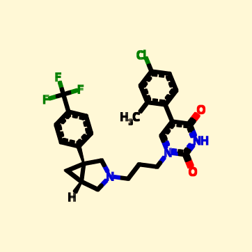 Cc1cc(Cl)ccc1-c1cn(CCCN2C[C@@H]3C[C@]3(c3ccc(C(F)(F)F)cc3)C2)c(=O)[nH]c1=O